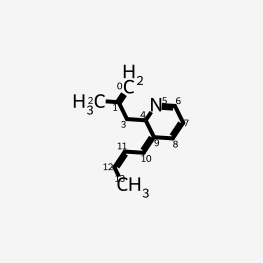 C=C(C)CC1N=CC=C/C1=C/C=C\C